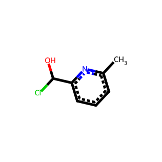 Cc1cccc(C(O)Cl)n1